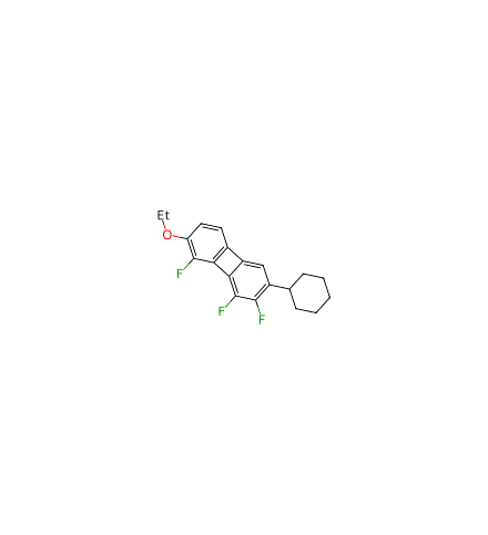 CCOc1ccc2c(c1F)-c1c-2cc(C2CCCCC2)c(F)c1F